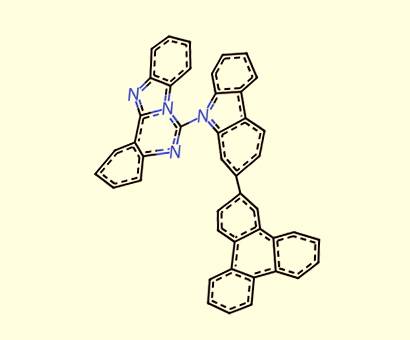 c1ccc2c(c1)nc(-n1c3ccccc3c3ccc(-c4ccc5c6ccccc6c6ccccc6c5c4)cc31)n1c3ccccc3nc21